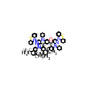 CC1(C)CCC(C)(C)c2cc(N3c4cc5c(cc4B4c6cc7c(cc6N(c6ccccc6)c6cc(N8c9ccccc9Sc9ccccc98)nc3c64)Oc3cc(N4c6ccccc6Sc6ccccc64)nc4c3B7c3ccccc3N4c3ccccc3)C(C)(C)CCC5(C)C)ccc21